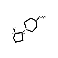 O=C(O)N1CCN([C@@H]2CCC[C@H]2O)CC1